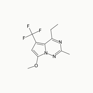 CCc1nc(C)nn2c(OC)cc(C(F)(F)F)c12